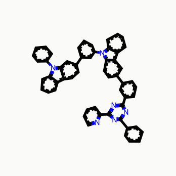 c1ccc(-c2nc(-c3cccc(-c4ccc5c(c4)c4ccccc4n5-c4cccc(-c5ccc6c7ccccc7n(-c7ccccc7)c6c5)c4)c3)nc(-c3ccccn3)n2)cc1